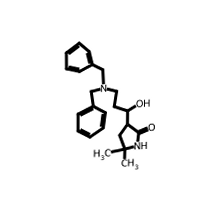 CC1(C)CC(C(O)CCN(Cc2ccccc2)Cc2ccccc2)C(=O)N1